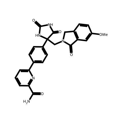 COc1ccc2c(c1)C(=O)N(CC1(c3ccc(-c4cccc(C(N)=O)n4)cc3)NC(=O)NC1=O)C2